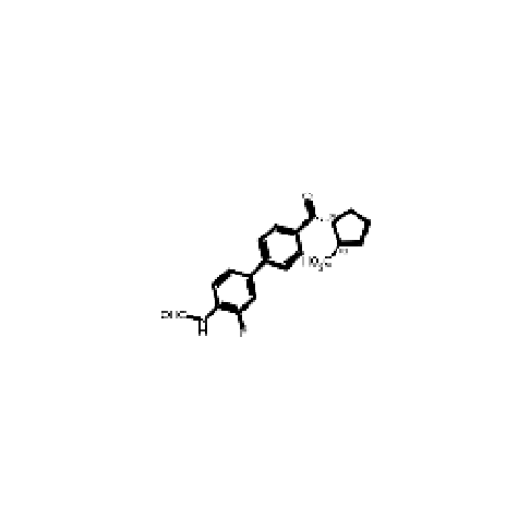 O=CNc1ccc(-c2ccc(C(=O)[C@@H]3CCC[C@H]3C(=O)O)cc2)cc1F